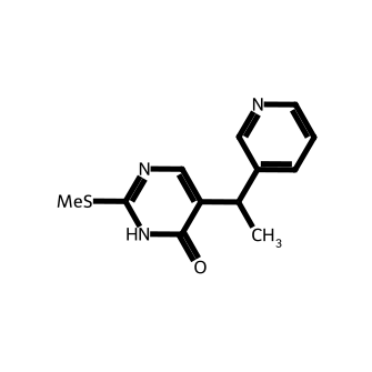 CSc1ncc(C(C)c2cccnc2)c(=O)[nH]1